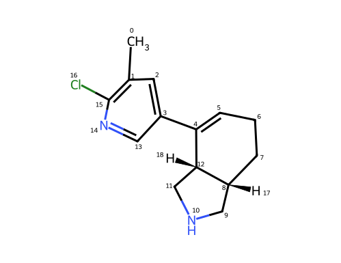 Cc1cc(C2=CCC[C@@H]3CNC[C@H]23)cnc1Cl